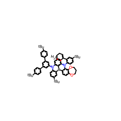 Cc1cc2c3c(c1)N(c1ccc(C(C)(C)C)cc1C1=CCCC=C1)c1c(ccc4c1OCCCO4)B3c1cc(C(C)(C)C)ccc1N2c1cc(-c2ccc(C(C)(C)C)cc2)cc(-c2ccc(C(C)(C)C)cc2)c1